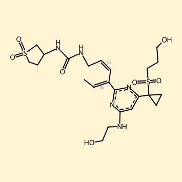 C/C=C(\C=C/CNC(=O)NC1CCS(=O)(=O)C1)c1nc(NCCO)cc(C2(S(=O)(=O)CCCO)CC2)n1